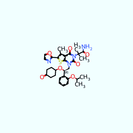 Cc1c(-c2ncco2)sc2c1c(=O)n(C(C)(C)C(N)=O)c(=O)n2C[C@H](OC1CCC(=O)CC1)c1ccccc1OC(C)C